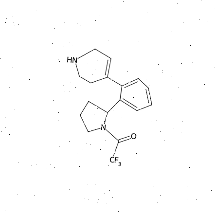 O=C(N1CCCC1c1ccccc1C1=CCNCC1)C(F)(F)F